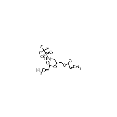 C=CC(=O)OCC(CNS(=O)(=O)C(F)(F)F)OC(=O)C=C